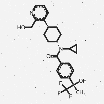 C[C@](O)(c1ccc(C(=O)N(C2CC2)[C@H]2CC[C@H](c3cccnc3CO)CC2)cc1)C(F)(F)F